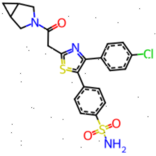 NS(=O)(=O)c1ccc(-c2sc(CC(=O)N3CC4CC4C3)nc2-c2ccc(Cl)cc2)cc1